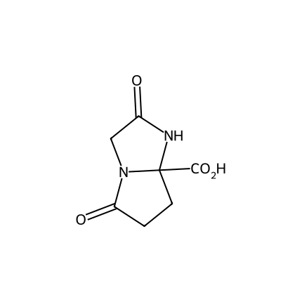 O=C1CN2C(=O)CCC2(C(=O)O)N1